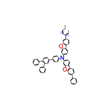 C/C=C(\C=C/CC)c1ccc2c(c1)oc1cc(N(c3ccc(-c4ccc(-c5ccccc5)c(-c5ccccc5)c4)cc3)c3ccc4c(c3)oc3cc(-c5ccccc5)ccc34)ccc12